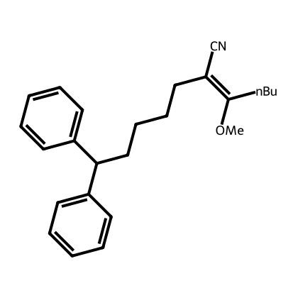 CCCCC(OC)=C(C#N)CCCCC(c1ccccc1)c1ccccc1